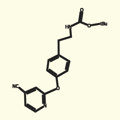 CC(C)(C)OC(=O)NCCc1ccc(Oc2cc(C#N)ccn2)cc1